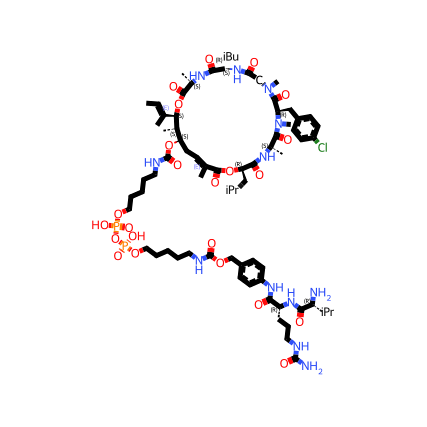 C/C=C(\C)[C@H]1OC(=O)[C@H](C)NC(=O)[C@H]([C@H](C)CC)NC(=O)CN(C)C(=O)[C@@H](Cc2ccc(Cl)cc2)N(C)C(=O)[C@H](C)NC(=O)[C@@H](CC(C)C)OC(=O)/C(C)=C/C[C@H](OC(=O)NCCCCCOP(=O)(O)OP(=O)(O)OCCCCCNC(=O)OCc2ccc(NC(=O)[C@@H](CCCNC(N)=O)NC(=O)[C@H](N)C(C)C)cc2)[C@@H]1C